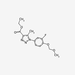 CCOC(=O)c1nnn(-c2ccc(OCOC)c(F)c2)c1C